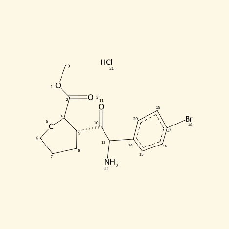 COC(=O)C1CCCC[C@H]1C(=O)C(N)c1ccc(Br)cc1.Cl